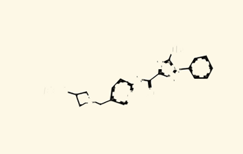 CC(C)(C)c1nc(C(=O)Nc2ccc(CN3CC(C(=O)O)C3)cc2)nn1-c1ccccc1